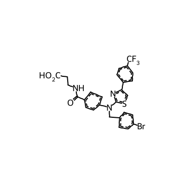 O=C(O)CCNC(=O)c1ccc(N(Cc2ccc(Br)cc2)c2nc(-c3ccc(C(F)(F)F)cc3)cs2)cc1